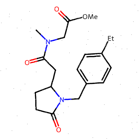 CCc1ccc(CN2C(=O)CCC2CC(=O)N(C)CC(=O)OC)cc1